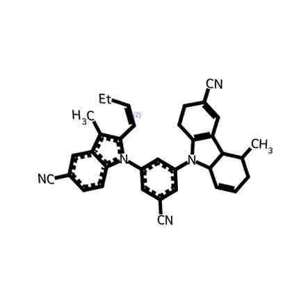 CC/C=C\c1c(C)c2cc(C#N)ccc2n1-c1cc(C#N)cc(N2C3=C(C=C(C#N)CC3)C3C(C)CC=CC32)c1